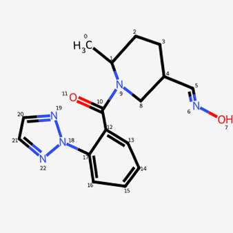 CC1CCC(/C=N/O)CN1C(=O)c1ccccc1-n1nccn1